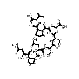 CC(C)[C@H](NC(=O)[C@@H]1CCCN1C(=O)[C@H](CCC(=O)O)NC(=O)[C@H](CO)NC(=O)[C@H](CO)NC(=O)[C@H](CC(=O)O)NC(=O)[C@@H]1CCCN1C(=O)[C@@H](N)CC(N)=O)C(=O)O